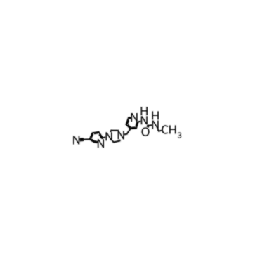 CCNC(=O)Nc1cc(CN2CCN(c3ccc(C#N)cn3)CC2)ccn1